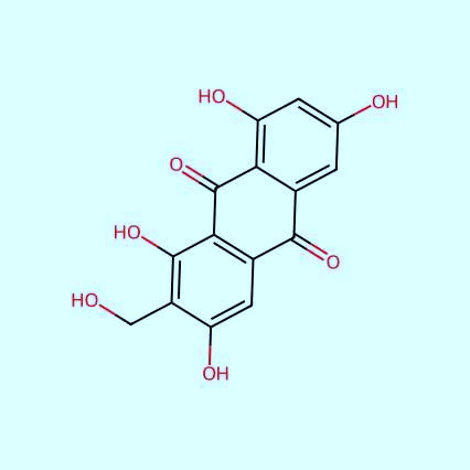 O=C1c2cc(O)cc(O)c2C(=O)c2c1cc(O)c(CO)c2O